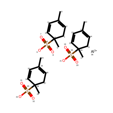 CC1=CCC(C)(S(=O)(=O)[O-])C=C1.CC1=CCC(C)(S(=O)(=O)[O-])C=C1.CC1=CCC(C)(S(=O)(=O)[O-])C=C1.[Al+3]